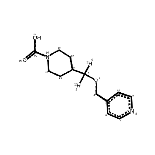 [2H]C([2H])(OCc1ccncc1)C1CCN(C(=O)O)CC1